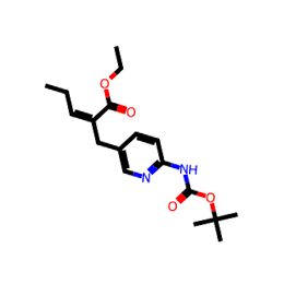 CCC=C(Cc1ccc(NC(=O)OC(C)(C)C)nc1)C(=O)OCC